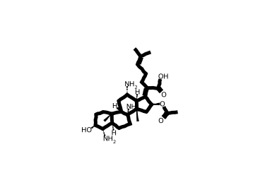 CC(=O)O[C@H]1C[C@@]2(C)[C@H](/C1=C(\CCC=C(C)C)C(=O)O)[C@@H](N)C[C@H]1[C@@]3(C)CC[C@@H](O)[C@@H](N)[C@@H]3CC[C@@]12N